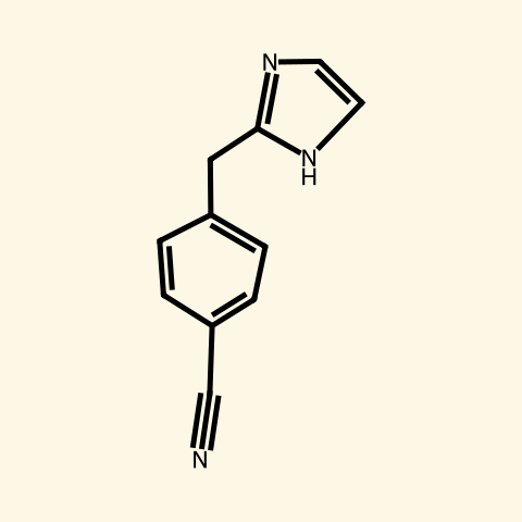 N#Cc1ccc(Cc2ncc[nH]2)cc1